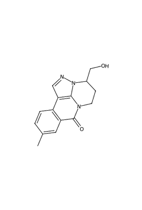 Cc1ccc2c(c1)c(=O)n1c3c2cnn3C(CO)CC1